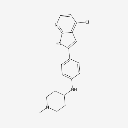 CN1CCC(Nc2ccc(-c3cc4c(Cl)ccnc4[nH]3)cc2)CC1